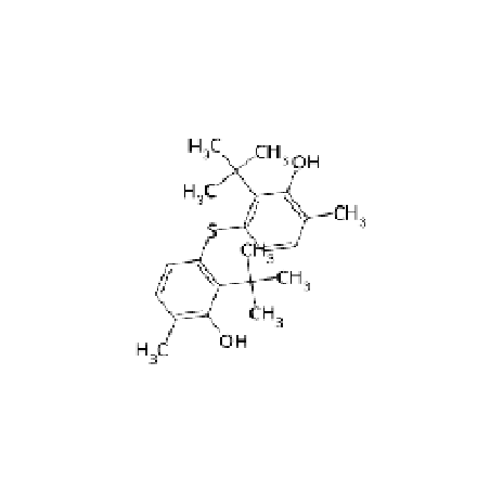 Cc1ccc(Sc2ccc(C)c(O)c2C(C)(C)C)c(C(C)(C)C)c1O